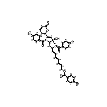 CC(O)(/C=C/C1CC=CC(=O)O1)C(CC(/C=C/C=C/C=C/COC(=O)c1ccc(Br)cc1)OC(=O)c1ccc(Br)cc1)OC(=O)c1ccc(Br)cc1